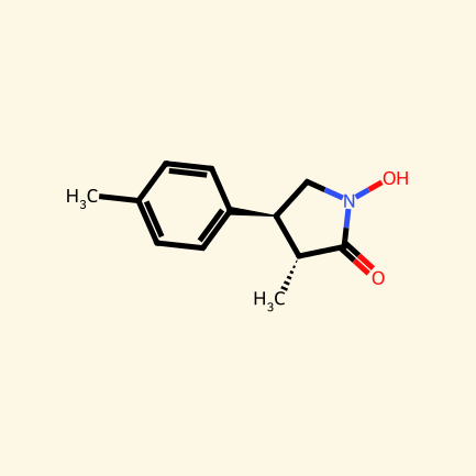 Cc1ccc([C@H]2CN(O)C(=O)[C@@H]2C)cc1